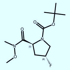 CON(C)C(=O)[C@@H]1C[C@@H](F)CN1C(=O)OC(C)(C)C